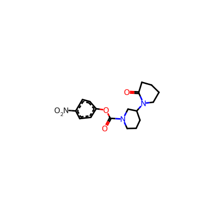 O=C(Oc1ccc([N+](=O)[O-])cc1)N1CCCC(N2CCCCC2=O)C1